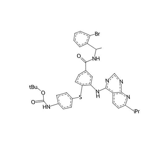 CC(C)c1ccc2c(Nc3cc(C(=O)NC(C)c4ccccc4Br)ccc3Sc3ccc(NC(=O)OC(C)(C)C)cc3)ncnc2n1